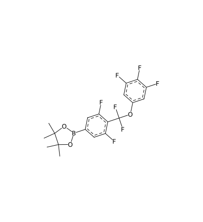 CC1(C)OB(c2cc(F)c(C(F)(F)Oc3cc(F)c(F)c(F)c3)c(F)c2)OC1(C)C